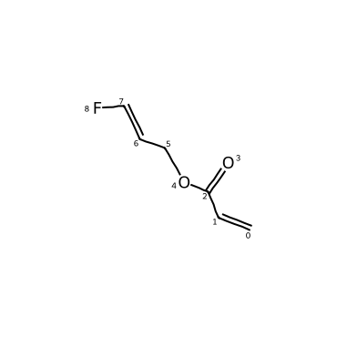 C=CC(=O)OCC=CF